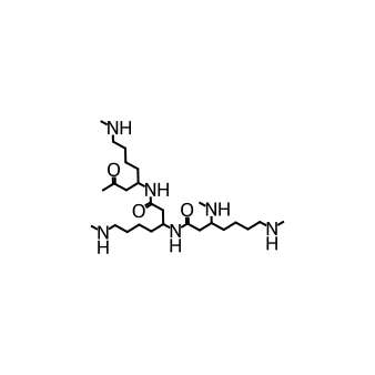 CNCCCCC(CC(=O)NC(CCCCNC)CC(=O)NC(CCCCNC)CC(C)=O)NC